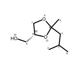 CC(C)CC1(C)OC[C@@H](CO)O1